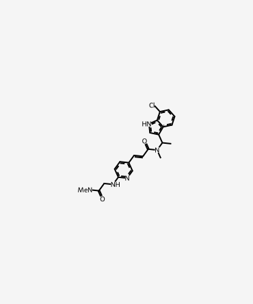 CNC(=O)CNc1ccc(C=CC(=O)N(C)C(C)c2c[nH]c3c(Cl)cccc23)cn1